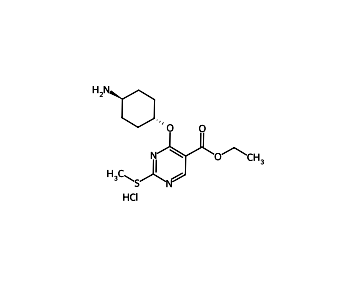 CCOC(=O)c1cnc(SC)nc1O[C@H]1CC[C@H](N)CC1.Cl